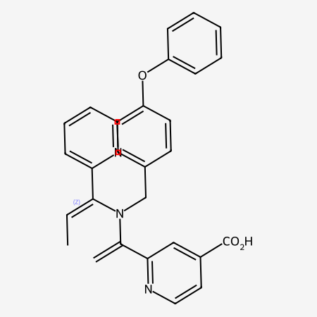 C=C(c1cc(C(=O)O)ccn1)N(Cc1ccc(Oc2ccccc2)cc1)/C(=C\C)c1ccccn1